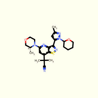 Cc1cc(-c2nsc3c(C(C)(C)C#N)cc(N4CCOC[C@H]4C)nc23)n(C2CCCCO2)n1